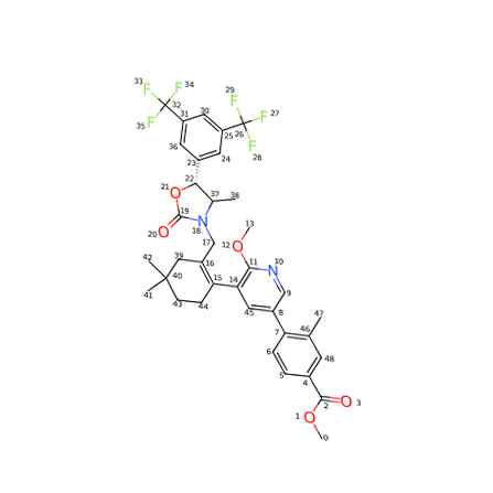 COC(=O)c1ccc(-c2cnc(OC)c(C3=C(CN4C(=O)O[C@H](c5cc(C(F)(F)F)cc(C(F)(F)F)c5)C4C)CC(C)(C)CC3)c2)c(C)c1